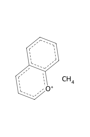 C.c1ccc2[o+]cccc2c1